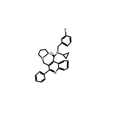 O=C(c1c(CN2CCCC2)c(-c2ccccc2)nc2ccccc12)N(Cc1cccc(F)c1)C1CC1